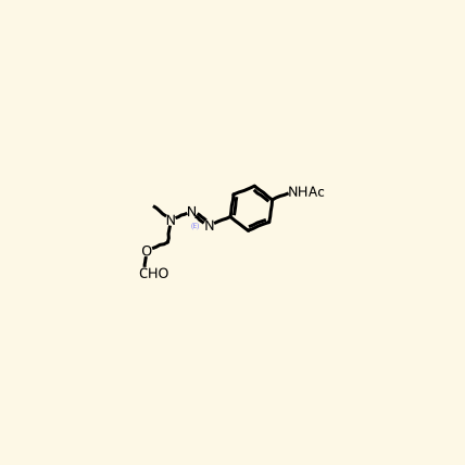 CC(=O)Nc1ccc(/N=N/N(C)COC=O)cc1